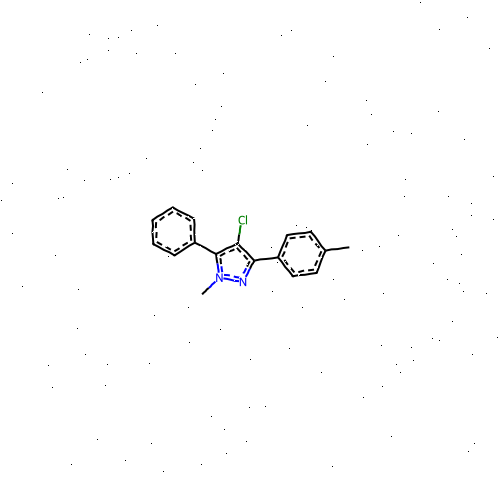 Cc1ccc(-c2nn(C)c(-c3ccccc3)c2Cl)cc1